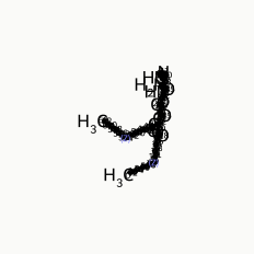 CCCCCCCC/C=C\CCCCCCCC(=O)OC[C@@H](COC(=O)CCC(=O)OCCNC(=O)C(N)Cc1cnc[nH]1)OC(=O)CCCCCCC/C=C\CCCCCCCC